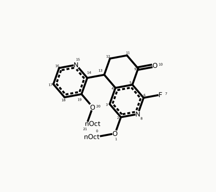 CCCCCCCCOc1cc2c(c(F)n1)C(=O)CCC2c1ncccc1OCCCCCCCC